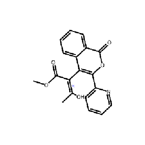 COC(=O)/C(=C(\C)O)c1c(-c2ccccn2)oc(=O)c2ccccc12